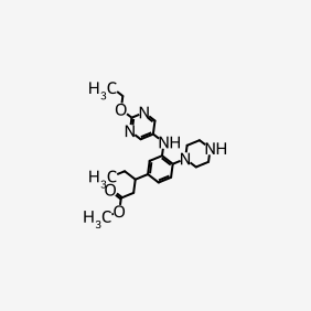 CCOc1ncc(Nc2cc(C(CC)CC(=O)OC)ccc2N2CCNCC2)cn1